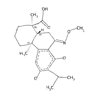 CON=C1C[C@H]2[C@](C)(C(=O)O)CCC[C@]2(C)c2cc(Cl)c(C(C)C)c(Cl)c21